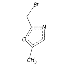 Cc1cnc(CBr)o1